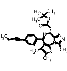 CCC#Cc1ccc(C2=N[C@H](CC(=O)OC(C)(C)C)c3nnc(C)n3-c3sc(C)c(C)c32)cc1